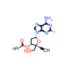 C#C[C@]1(CO)O[C@@H](n2cnc3c(N)nc(F)nc32)C[C@@H]1OC(=O)CCC